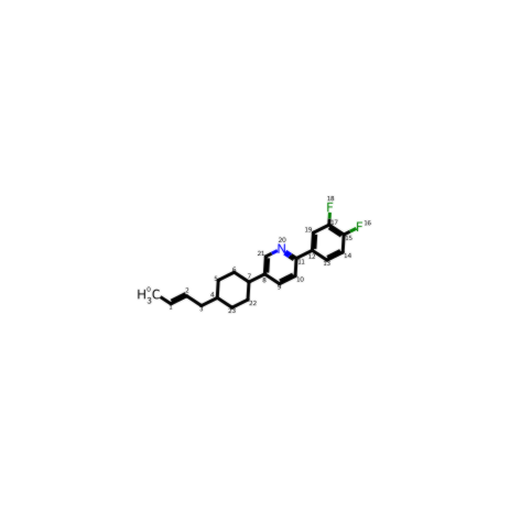 C/C=C/CC1CCC(c2ccc(-c3ccc(F)c(F)c3)nc2)CC1